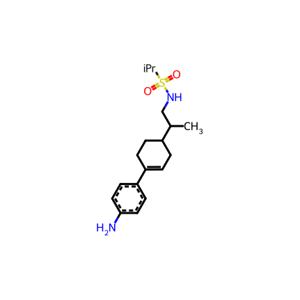 CC(CNS(=O)(=O)C(C)C)C1CC=C(c2ccc(N)cc2)CC1